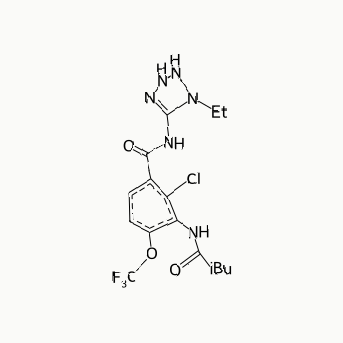 CCC(C)C(=O)Nc1c(OC(F)(F)F)ccc(C(=O)NC2=NNNN2CC)c1Cl